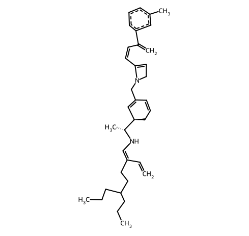 C=C/C(=C\N[C@H](C)[C@H]1C=C(CN2CC=C2/C=C\C(=C)c2cccc(C)c2)C=CC1)CCC(CCC)CCC